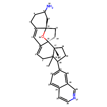 CC12CC=C3C=C4CCC(N)C[C@]45CC[C@]3(O5)[C@@H]1CCC2c1ccc2ccncc2c1